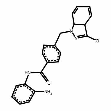 Nc1ccccc1NC(=O)c1ccc(CN2N=C(Cl)C3C=CC=CC32)cc1